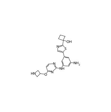 Nc1cc(Nc2nccc(OC3CNC3)n2)cc(-c2cnc(C3(O)CCC3)s2)c1